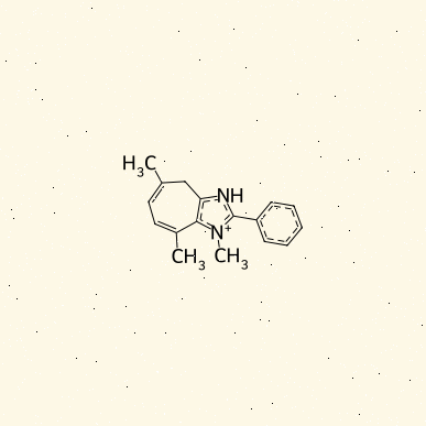 CC1=CC=C(C)c2c([nH]c(-c3ccccc3)[n+]2C)C1